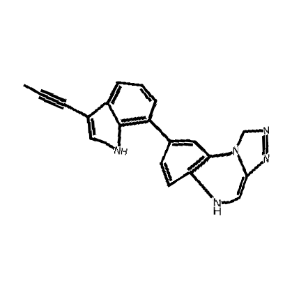 CC#Cc1c[nH]c2c(-c3ccc4c(c3)N3CN=NC3=CN4)cccc12